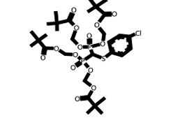 CC(C)(C)C(=O)OCOP(=O)(OCOC(=O)C(C)(C)C)C(Sc1ccc(Cl)cc1)P(=O)(OCOC(=O)C(C)(C)C)OCOC(=O)C(C)(C)C